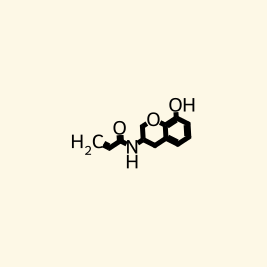 C=CC(=O)NC1COc2c(O)cccc2C1